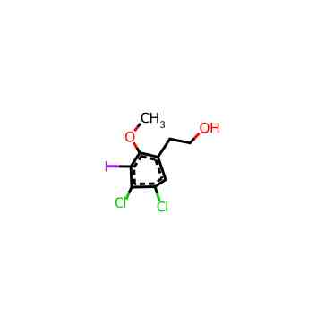 COc1c(CCO)cc(Cl)c(Cl)c1I